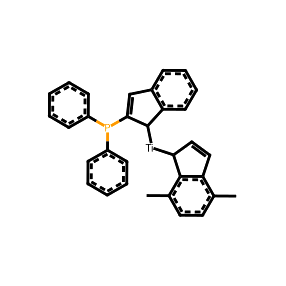 Cc1ccc(C)c2c1C=C[CH]2[Ti][CH]1C(P(c2ccccc2)c2ccccc2)=Cc2ccccc21